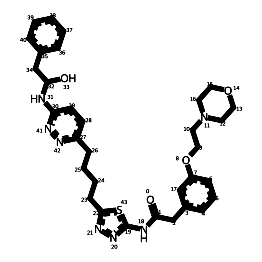 O=C(Cc1cccc(OCCN2CCOCC2)c1)Nc1nnc(CCCCc2ccc(NC(O)Cc3ccccc3)nn2)s1